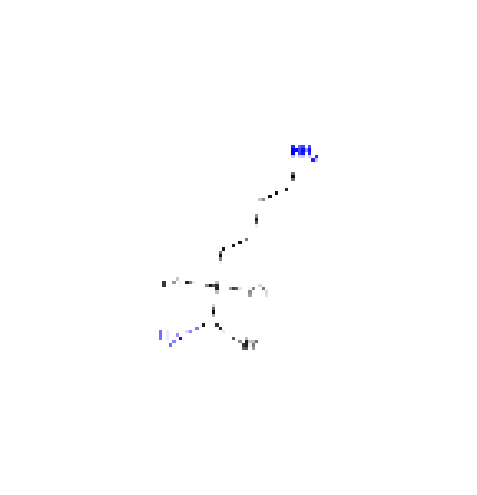 CCCC(N)C(CCC)(CCC)CCCCN